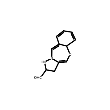 O=CC1CC2=COC3C=CC=CC3=CN2N1